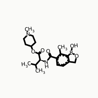 Cc1c(C(=O)N[C@H](C(=O)OC2CCN(C)CC2)C(C)C)ccc2c1B(O)OC2